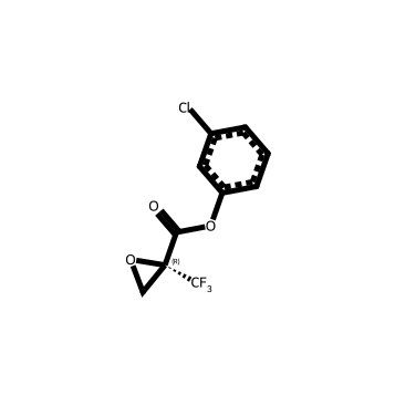 O=C(Oc1cccc(Cl)c1)[C@@]1(C(F)(F)F)CO1